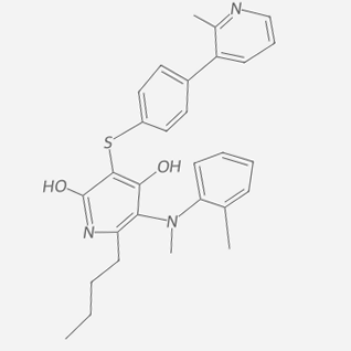 CCCCc1nc(O)c(Sc2ccc(-c3cccnc3C)cc2)c(O)c1N(C)c1ccccc1C